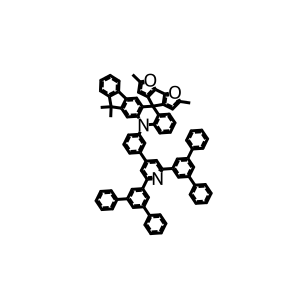 Cc1cc2c(o1)-c1oc(C)cc1C21c2ccccc2N(c2cccc(-c3cc(-c4cc(-c5ccccc5)cc(-c5ccccc5)c4)nc(-c4cc(-c5ccccc5)cc(-c5ccccc5)c4)c3)c2)c2cc3c(cc21)-c1ccccc1C3(C)C